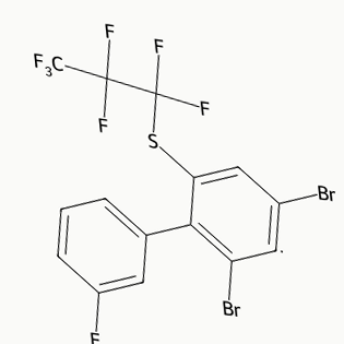 Fc1cccc(-c2c(Br)[c]c(Br)cc2SC(F)(F)C(F)(F)C(F)(F)F)c1